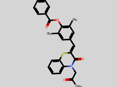 COC(=O)CN1C(=O)/C(=C/c2cc(C(C)(C)C)c(OC(=O)c3ccccc3)c(C(C)(C)C)c2)Sc2ccccc21